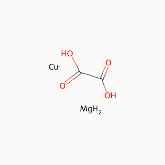 O=C(O)C(=O)O.[Cu].[MgH2]